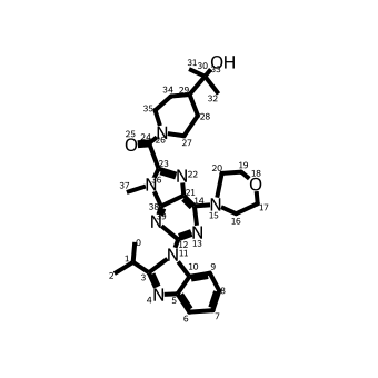 CC(C)c1nc2ccccc2n1-c1nc(N2CCOCC2)c2nc(C(=O)N3CCC(C(C)(C)O)CC3)n(C)c2n1